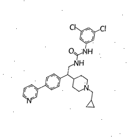 O=C(NCC(c1ccc(-c2cccnc2)cc1)C1CCN(CC2CC2)CC1)Nc1cc(Cl)cc(Cl)c1